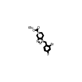 CC(C)(C)OC(=O)N1CCc2c(nnn2Cc2ccc(F)cc2Br)C1